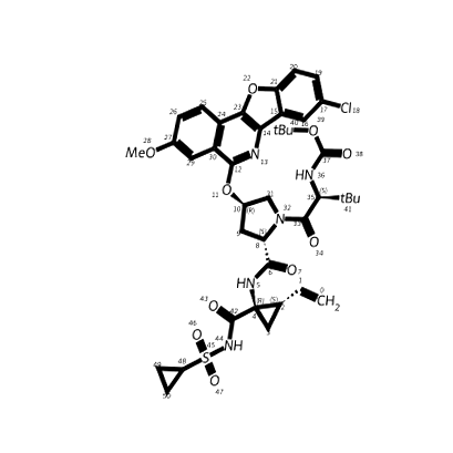 C=C[C@@H]1C[C@]1(NC(=O)[C@@H]1C[C@@H](Oc2nc3c4cc(Cl)ccc4oc3c3ccc(OC)cc23)CN1C(=O)[C@@H](NC(=O)OC(C)(C)C)C(C)(C)C)C(=O)NS(=O)(=O)C1CC1